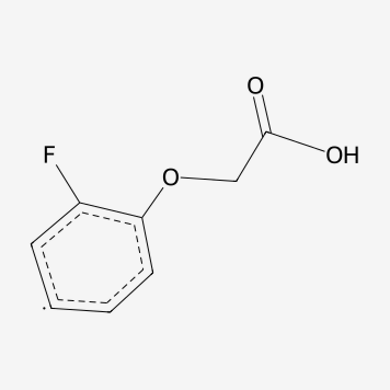 O=C(O)COc1cc[c]cc1F